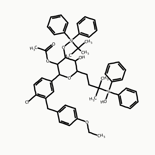 CCOc1ccc(Cc2cc(C3OC(CCC(C)(C)[Si](O)(c4ccccc4)c4ccccc4)C(O)C(O[Si](c4ccccc4)(c4ccccc4)C(C)(C)C)C3OC(C)=O)ccc2Cl)cc1